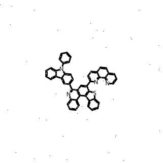 c1ccc(-n2c3ccccc3c3cc(-c4nc5ccccc5c5c4cc(-c4ccc6ccc7cccnc7c6n4)c4sc6ccccc6c45)ccc32)cc1